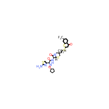 Nc1nc(C(=NOC2CCCC2)C(=O)NC2C(=O)N3CC(C=CSc4cc(=O)c5ccc(C(F)(F)F)cc5s4)(C(=O)O)CS[C@H]23)cs1